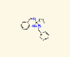 CC1(NCc2ccccc2)N=Cc2cc[c]cc2N1